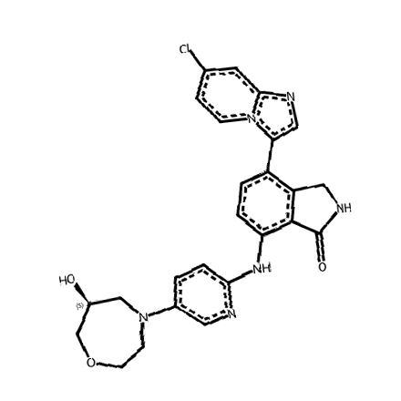 O=C1NCc2c(-c3cnc4cc(Cl)ccn34)ccc(Nc3ccc(N4CCOC[C@@H](O)C4)cn3)c21